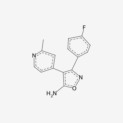 Cc1cc(-c2c(-c3ccc(F)cc3)noc2N)ccn1